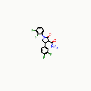 NC(=O)C1C(=O)N(c2cccc(F)c2F)CC1c1ccc(F)c(F)c1